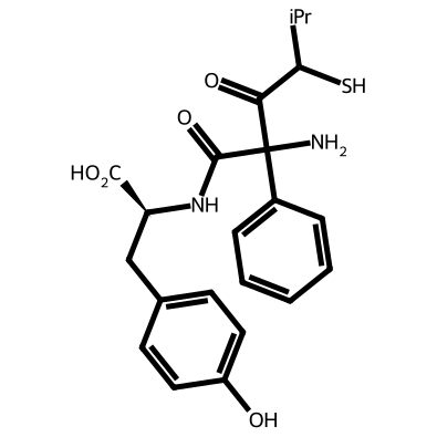 CC(C)C(S)C(=O)C(N)(C(=O)N[C@@H](Cc1ccc(O)cc1)C(=O)O)c1ccccc1